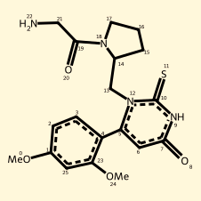 COc1ccc(-c2cc(=O)[nH]c(=S)n2CC2CCCN2C(=O)CN)c(OC)c1